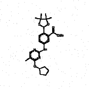 COC(=O)c1cc(Nc2ncc(C)c(OC3CCCC3)n2)ccc1B1OC(C)(C)C(C)(C)O1